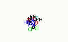 C#C[C@@H]1C[C@@]2(CN1C(=O)[C@H](CC(C)(C)F)NC(=O)c1cc3c(Cl)cc(Cl)cc3[nH]1)C(=O)Nc1ccccc12